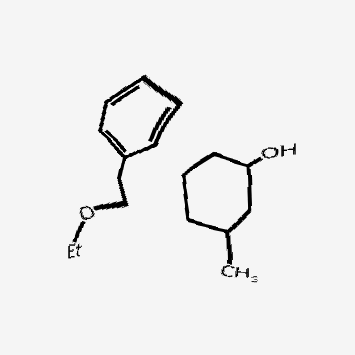 CC1CCCC(O)C1.CCOCc1ccccc1